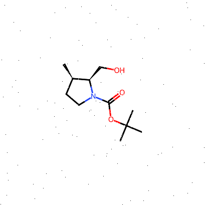 C[C@@H]1CCN(C(=O)OC(C)(C)C)[C@@H]1CO